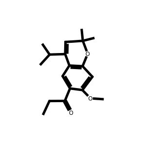 CCC(=O)c1cc2c(cc1OC)OC(C)(C)C=C2C(C)C